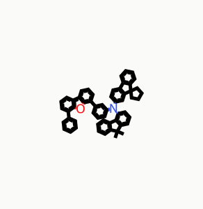 CC1(C)c2ccccc2-c2c(N(c3cccc(-c4cccc5c4oc4c(-c6ccccc6)cccc45)c3)c3ccc4c(c3)C3(CCCC3)c3ccccc3-4)cccc21